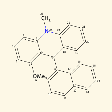 COc1cccc2c1C(c1cccc3ccccc13)c1ccccc1N2C